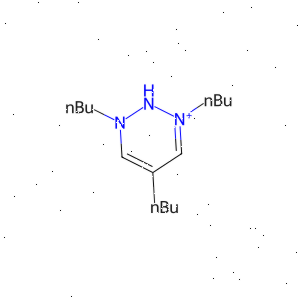 CCCCC1=CN(CCCC)N[N+](CCCC)=C1